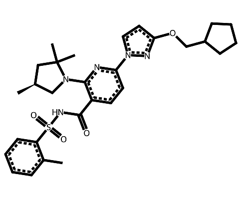 Cc1ccccc1S(=O)(=O)NC(=O)c1ccc(-n2ccc(OCC3CCCC3)n2)nc1N1C[C@@H](C)CC1(C)C